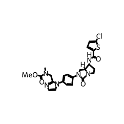 COC(=O)N(C)Cc1nccn1-c1ccc(N2C[C@@H]3[C@H](NC(=O)c4ccc(Cl)s4)CCN3C2=O)cc1